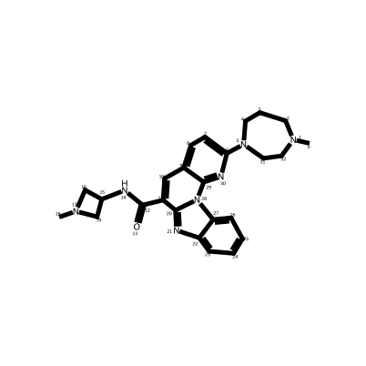 CN1CCCN(c2ccc3cc(C(=O)NC4CN(C)C4)c4nc5ccccc5n4c3n2)CC1